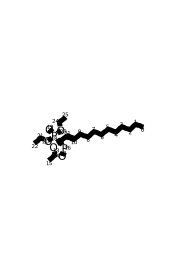 CCCCCCCCCCC=CC(OCC)(P=O)P(=O)(OCC)OCC